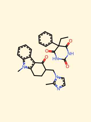 CCC1(c2ccccc2)C(=O)NC(=O)NC1=O.Cc1nccn1CC1CCc2c(c3ccccc3n2C)C1=O